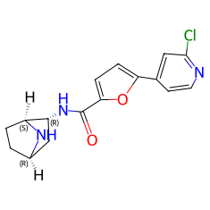 O=C(N[C@@H]1C[C@H]2CC[C@@H]1N2)c1ccc(-c2ccnc(Cl)c2)o1